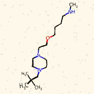 CNCCCCOCCN1CCN(CC(C)(C)C)CC1